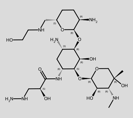 CN[C@@H]1[C@@H](O)[C@@H](O[C@@H]2[C@H](O)[C@H](O[C@H]3O[C@H](CNCCO)CC[C@H]3N)[C@@H](N)C[C@H]2NC(=O)[C@@H](O)CNN)OC[C@]1(C)O